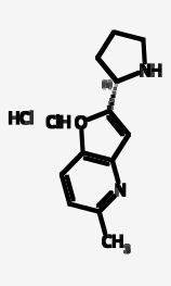 Cc1ccc2oc([C@@H]3CCCN3)cc2n1.Cl.Cl